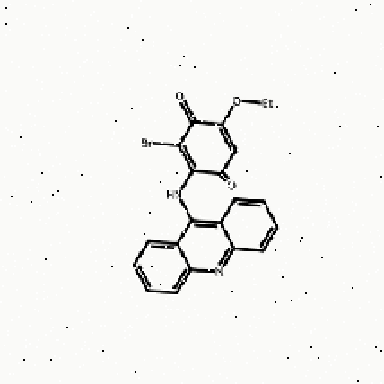 CCOC1=CC(=O)C(Nc2c3ccccc3nc3ccccc23)=C(Br)C1=O